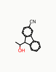 CC(O)C1c2ccccc2-c2cc(C#N)ccc21